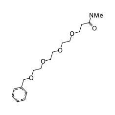 CNC(=O)CCOCCOCCOCCOCc1ccccc1